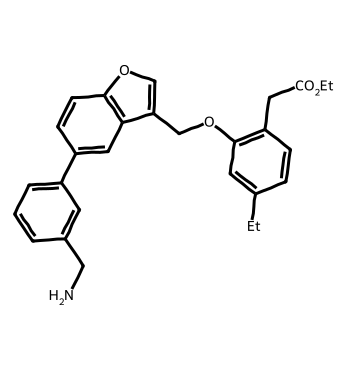 CCOC(=O)Cc1ccc(CC)cc1OCc1coc2ccc(-c3cccc(CN)c3)cc12